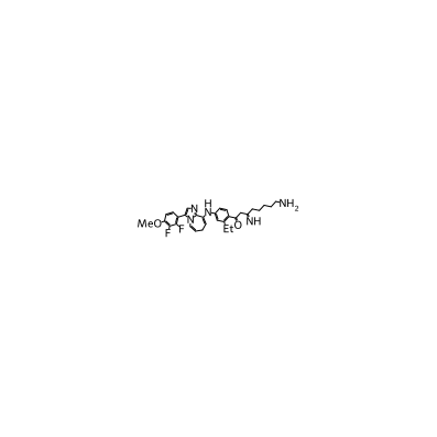 CCc1cc(NC2=CCC=Cn3c(-c4ccc(OC)c(F)c4F)cnc32)ccc1C(=O)CC(=N)CCCCCN